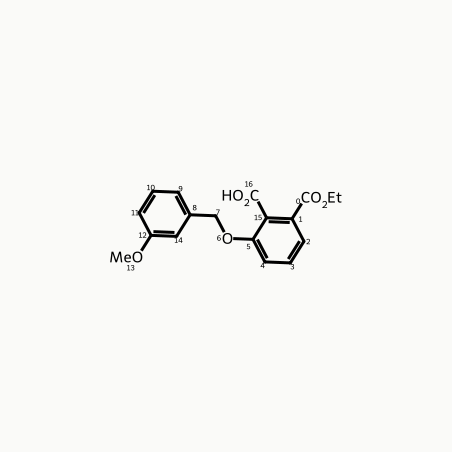 CCOC(=O)c1cccc(OCc2cccc(OC)c2)c1C(=O)O